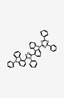 c1ccc(-c2nc(-c3ccccc3)nc(-n3c4ccccc4c4c(-c5nnc(-c6cccc7c6c6ccccc6n7-c6ccccc6)n5-c5ccccc5)cccc43)n2)cc1